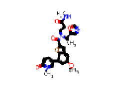 CNC(=O)CCN(C(=O)c1cc2cc(OC)cc(-c3ccc(=O)n(C)c3)c2s1)C(C)c1cnco1